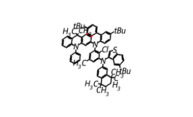 Cc1cc(N(c2ccc3c(c2)N(c2ccccc2)c2ccccc2C3(C)C)c2ccc(C(C)(C)C)cc2-c2ccc(C(C)(C)C)cc2)c(Cl)c(N(c2ccc3c(c2)C(C)(C)CCC3(C)C)c2csc3ccc(C(C)(C)C)cc23)c1